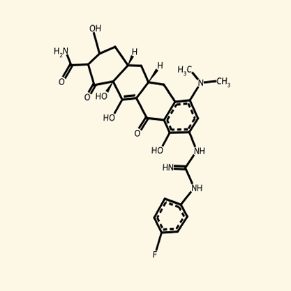 CN(C)c1cc(NC(=N)Nc2ccc(F)cc2)c(O)c2c1C[C@H]1C[C@H]3CC(O)C(C(N)=O)C(=O)[C@@]3(O)C(O)=C1C2=O